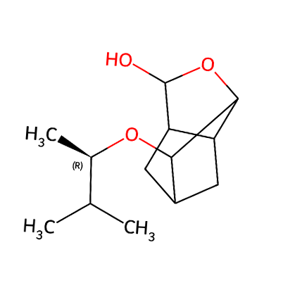 CC(C)[C@@H](C)OC1C2CC3C(O)OC1C3C2